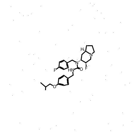 CC(C)COc1ccc(CNC(=O)N(Cc2ccc(F)cc2)[C@@H]2C[C@H]3CCCN3C[C@H]2F)cc1